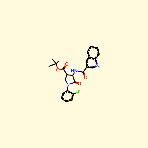 CC(C)(C)OC(=O)C1CN(c2ccccc2F)C(=O)C1NC(=O)c1cnc2ccccc2c1